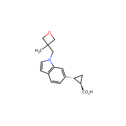 CC1(Cn2ccc3ccc([C@@H]4C[C@H]4C(=O)O)cc32)COC1